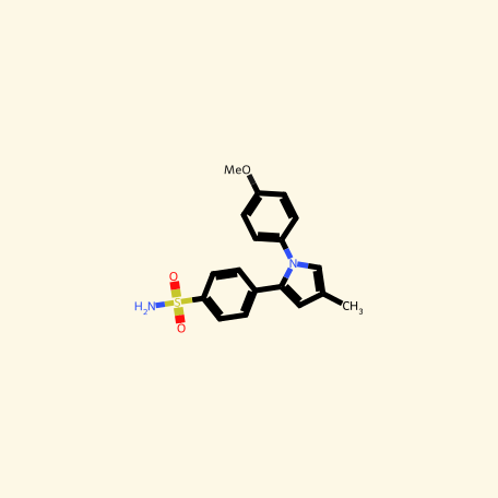 COc1ccc(-n2cc(C)cc2-c2ccc(S(N)(=O)=O)cc2)cc1